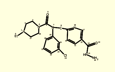 CCN1CCN(C(=O)N(Cc2ccc(C(=O)NN)cn2)c2cccc(Cl)c2)CC1